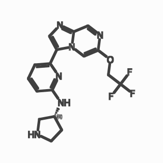 FC(F)(F)COc1cn2c(-c3cccc(N[C@@H]4CCNC4)n3)cnc2cn1